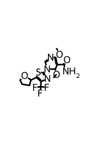 COC1=C(C(N)=O)C(OC)N(c2nc(C(F)(F)F)c(C3CCCO3)s2)C=N1